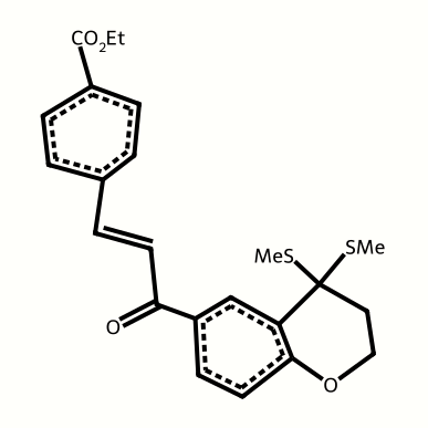 CCOC(=O)c1ccc(C=CC(=O)c2ccc3c(c2)C(SC)(SC)CCO3)cc1